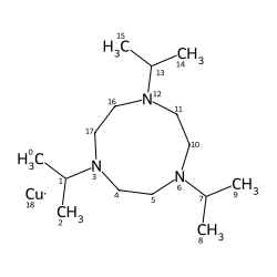 CC(C)N1CCN(C(C)C)CCN(C(C)C)CC1.[Cu]